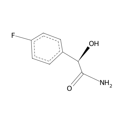 NC(=O)[C@H](O)c1ccc(F)cc1